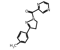 Cc1ccc(C2=NN(C(=O)c3cnccn3)CC2)cc1